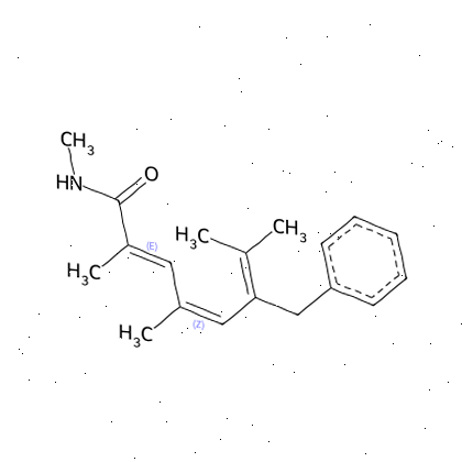 CNC(=O)/C(C)=C/C(C)=C\C(Cc1ccccc1)=C(C)C